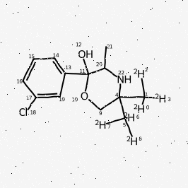 [2H]C([2H])([2H])C1(C([2H])([2H])[2H])COC(O)(c2cccc(Cl)c2)C(C)N1